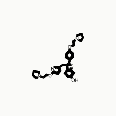 Oc1ccc2c(Cc3ccc(OCCN4CCCC4)nc3)c(-c3ccc(OCCN4CCCC4)cc3)sc2c1